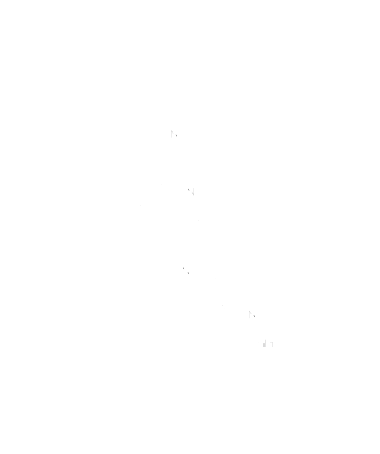 C=CN(C)c1ccccc1N(C)c1ccc(C(=C)NCCC)nc1